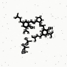 CC(=O)[O-].CC(=O)[O-].CC(C)CCc1cc(C=NC2CCCC2N=Cc2cc(CCC(C)C)cc(C(C)C)c2O)c(O)c(C(C)C)c1.[Co+2]